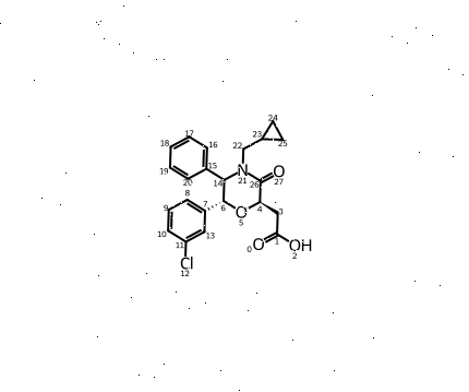 O=C(O)C[C@H]1O[C@H](c2cccc(Cl)c2)C(c2ccccc2)N(CC2CC2)C1=O